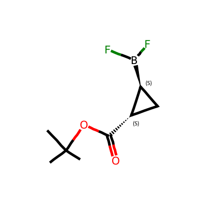 CC(C)(C)OC(=O)[C@H]1C[C@@H]1B(F)F